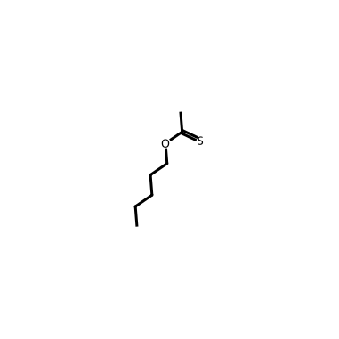 CCCCCOC(C)=S